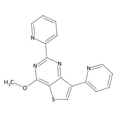 COc1nc(-c2ccccn2)nc2c(-c3ccccn3)csc12